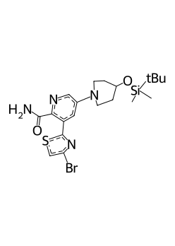 CC(C)(C)[Si](C)(C)OC1CCN(c2cnc(C(N)=O)c(-c3nc(Br)cs3)c2)CC1